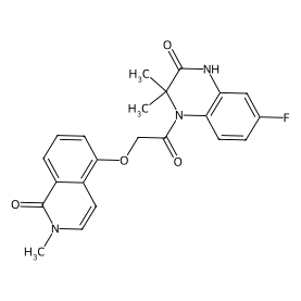 Cn1ccc2c(OCC(=O)N3c4ccc(F)cc4NC(=O)C3(C)C)cccc2c1=O